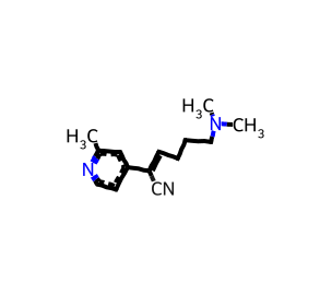 Cc1cc(C(C#N)=CCCCN(C)C)ccn1